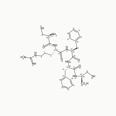 N=C(N)NCCC[C@H](NC(=O)[C@H](N)CS)C(=O)N[C@@H](Cc1ccccc1)C(=O)N[C@@H](Cc1ccccc1)C(=O)N[C@@H](CS)C(=O)O